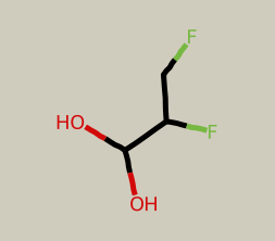 OC(O)C(F)CF